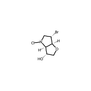 O[C@H]1CO[C@H]2[C@@H]1N(Cl)C[C@@H]2Br